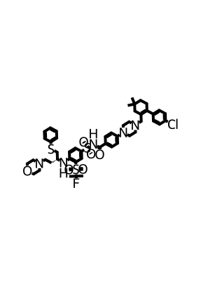 CC1(C)CCC(c2ccc(Cl)cc2)=C(CN2CCN(c3ccc(C(=O)NS(=O)(=O)c4ccc(N[C@H](CCN5CCOCC5)CSc5ccccc5)c(S(=O)(=O)C(C)(C)F)c4)cc3)CC2)C1